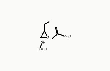 C=C(C)C(=O)O.ClCC1CO1.O=C(O)O